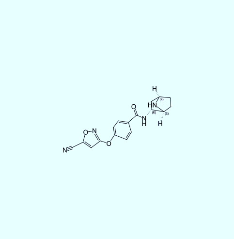 N#Cc1cc(Oc2ccc(C(=O)N[C@@H]3C[C@H]4CC[C@@H]3N4)cc2)no1